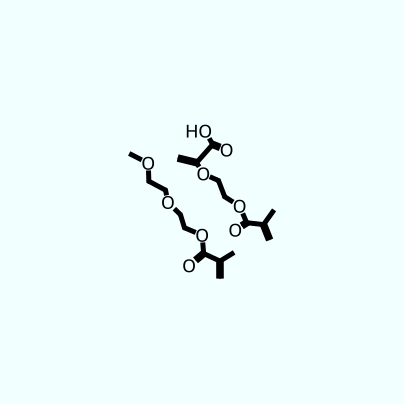 C=C(C)C(=O)OCCOC(=C)C(=O)O.C=C(C)C(=O)OCCOCCOC